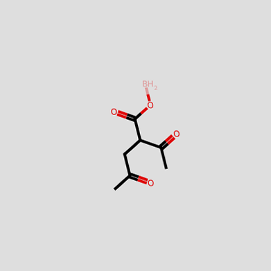 BOC(=O)C(CC(C)=O)C(C)=O